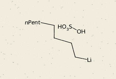 O=S(=O)(O)O.[Li][CH2]CCCCCCCC